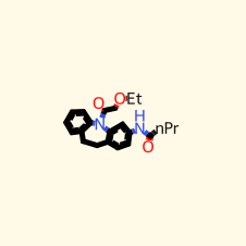 CCCC(=O)Nc1ccc2c(c1)N(C(=O)COCC)c1ccccc1CC2